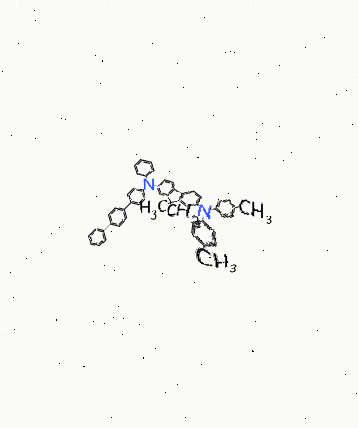 Cc1ccc(N(c2ccc(C)cc2)c2ccc3c(c2)C(C)(C)c2cc(N(c4ccccc4)c4ccc(-c5ccc(-c6ccccc6)cc5)cc4)ccc2-3)cc1